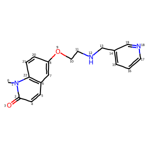 Cn1c(=O)ccc2cc(OCCNCc3cccnc3)ccc21